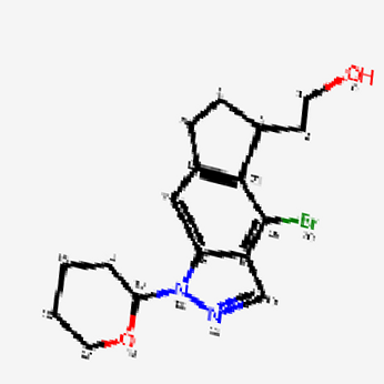 OCCC1CCc2cc3c(cnn3C3CCCCO3)c(Br)c21